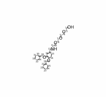 OCCOCCOCCOCCNCc1ccc(OCc2ccccc2)c(OCc2ccccc2)c1